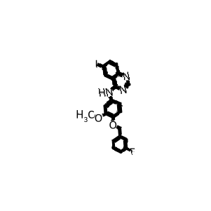 COc1cc(Nc2ncnc3ccc(I)cc23)ccc1OCc1cccc(F)c1